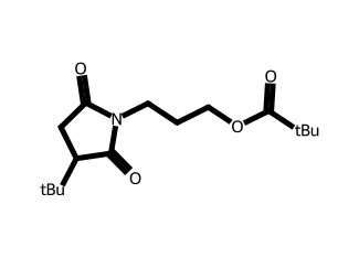 CC(C)(C)C(=O)OCCCN1C(=O)CC(C(C)(C)C)C1=O